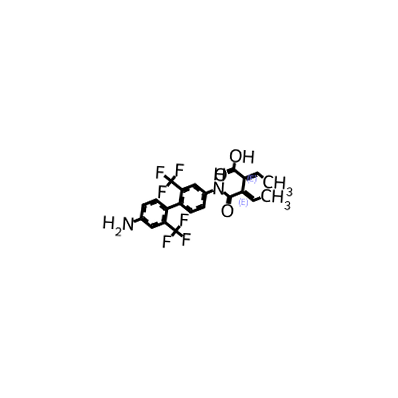 C/C=C(C(=O)O)\C(=C/C)C(=O)Nc1ccc(-c2ccc(N)cc2C(F)(F)F)c(C(F)(F)F)c1